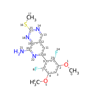 COc1cc(OC)c(F)c(-c2cc3cnc(SC)nc3c(N)n2)c1F